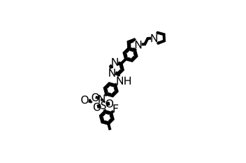 Cc1ccc(S(=O)(=O)N(OC=O)c2ccc(Nc3cc(-c4ccc5c(ccn5CCN5CCCC5)c4)ncn3)cc2)c(F)c1